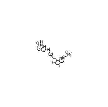 CN(C)C(=O)COc1ccc2ncc(F)c(CCC34CCC(N(C)c5ccc6c(n5)NC(=O)CO6)(CC3)CO4)c2n1